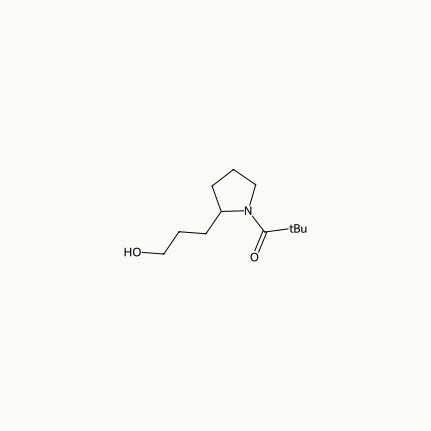 CC(C)(C)C(=O)N1CCCC1CCCO